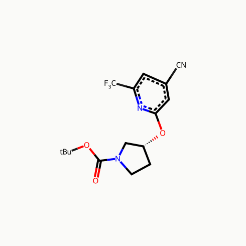 CC(C)(C)OC(=O)N1CC[C@@H](Oc2cc(C#N)cc(C(F)(F)F)n2)C1